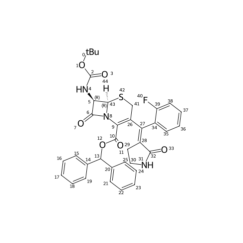 CC(C)(C)OC(=O)N[C@@H]1C(=O)N2C(C(=O)OC(c3ccccc3)c3ccccc3)=C(C(=C3CCNC3=O)c3ccccc3F)CS[C@H]12